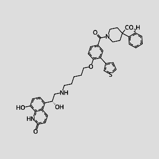 O=C(c1ccc(OCCCCCNC[C@H](O)c2ccc(O)c3[nH]c(=O)ccc23)c(-c2ccsc2)c1)N1CCC(C(=O)O)(c2ccccc2)CC1